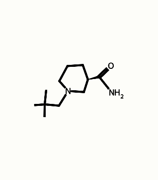 CC(C)(C)CN1CCC[C@@H](C(N)=O)C1